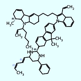 C=CC1=C(CCCC2C=C3C4C=CC[C@@H](C)C4N(C(C=C)CCCC)C3CC2)N(c2ccc3c(c2)C(C)(C)C2=C3C=CC([C@@H]3NC(/C=C/C=C\C)CC(C4=CCCC=C4)N3)C2)C2=CC=CCC21